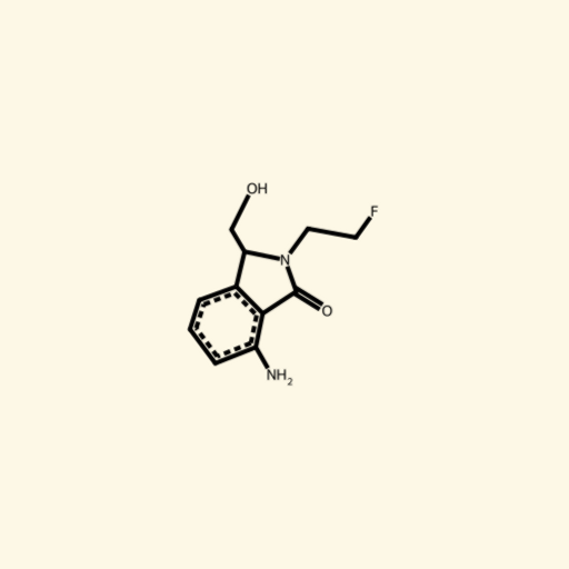 Nc1cccc2c1C(=O)N(CCF)C2CO